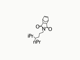 CCCC(CCCN1C(=O)C2C3C=CC(C3)C2C1=O)C(C)C